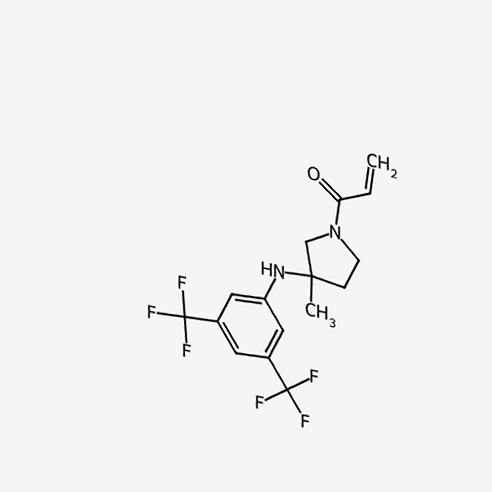 C=CC(=O)N1CCC(C)(Nc2cc(C(F)(F)F)cc(C(F)(F)F)c2)C1